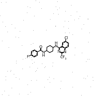 O=C(NC1CCC(Nc2nc(C(F)(F)F)nc3ccc(Cl)cc23)CC1)c1ccc(F)cc1